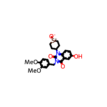 COc1ccc(Cn2c(=O)c3cc(O)ccc3n(C3CC[S+]([O-])CC3)c2=O)cc1OC